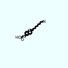 CC1(/C=C/CCCCCCC#N)CCc2cc(OCC(=O)O)ccc2O1